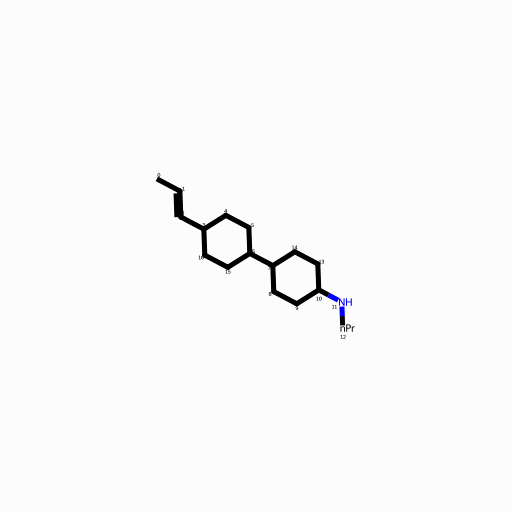 C/C=C/C1CCC(C2CCC(NCCC)CC2)CC1